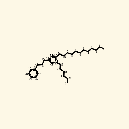 CCCCCCCCCCCCc1nc(CCCc2ccccc2)cn1CCCCCC